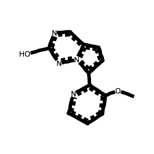 COc1cccnc1-c1ccc2cnc(O)nn12